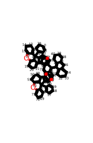 c1ccc(C2(c3ccccc3)c3ccccc3Oc3cccc(-c4cccc5c(-c6c7ccccc7cc7ccccc67)c6cccc(-c7cccc8c7C(c7ccccc7)(c7ccccc7)c7ccccc7O8)c6cc45)c32)cc1